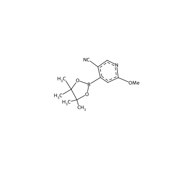 COc1cc(B2OC(C)(C)C(C)(C)O2)c(C#N)cn1